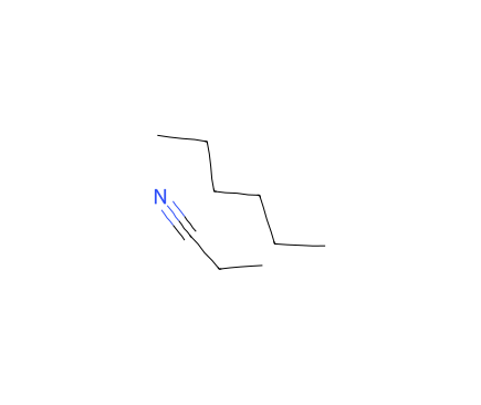 CCC#N.CCCCCC